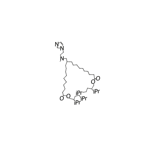 CC(C)CCC(COC(=O)CCCCCCCCCC(CCCCCCCCCC(=O)OCC(CCC(C)C)C(C)C)CN(C)CCn1ccnc1)C(C)C